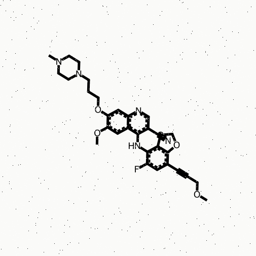 COCC#Cc1cc(F)c(Nc2c(C#N)cnc3cc(OCCCN4CCN(C)CC4)c(OC)cc23)c2c1OCO2